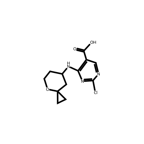 O=C(O)c1cnc(Cl)nc1NC1CCOC2(CC2)C1